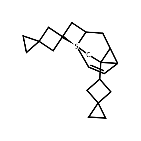 C1=C[S@@]23CC4(C5CC6(CC6)C5)C1C4CC2CC31CC2(CC2)C1